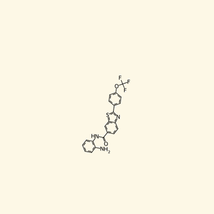 Nc1ccccc1NC(=O)c1ccc2nc(-c3ccc(OC(F)(F)F)cc3)sc2c1